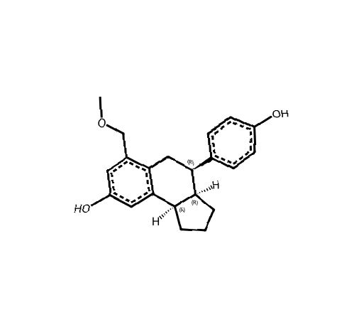 COCc1cc(O)cc2c1C[C@@H](c1ccc(O)cc1)[C@H]1CCC[C@@H]21